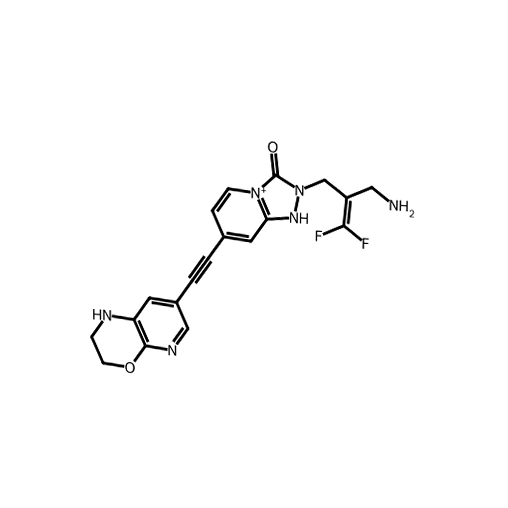 NCC(Cn1[nH]c2cc(C#Cc3cnc4c(c3)NCCO4)cc[n+]2c1=O)=C(F)F